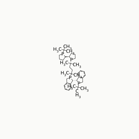 CC(C)(C)P1CCCC1[C@H]1CCC[P@]1C(C)(C)CCC(C)(C)[P@]1Cc2ccccc2[C@H]1C1c2ccccc2CP1C(C)(C)C